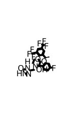 C[C@@H](O[C@H]1OCCN(Cc2n[nH]c(=O)[nH]2)[C@@]1(O)c1ccc(F)cc1)c1cc(C(F)(F)F)cc(C(F)(F)F)c1